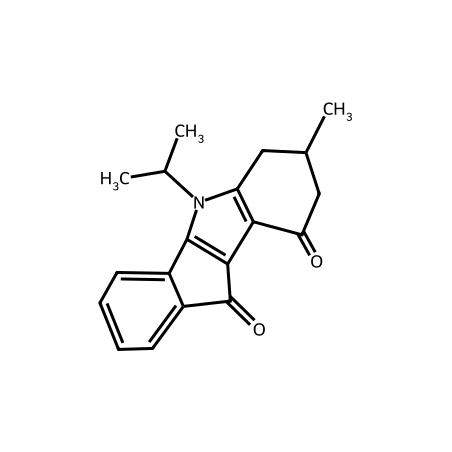 CC1CC(=O)c2c3c(n(C(C)C)c2C1)-c1ccccc1C3=O